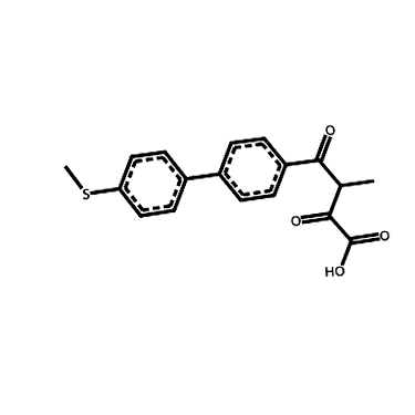 CSc1ccc(-c2ccc(C(=O)C(C)C(=O)C(=O)O)cc2)cc1